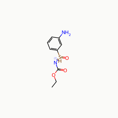 CCOC(=O)/N=[SH](=O)/c1cccc(N)c1